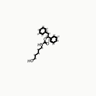 O=C(NCCCCCO)OC(Cc1ccccc1)c1ccccc1